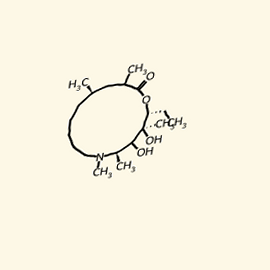 CC[C@H]1OC(=O)C(C)C[C@H](C)CCCCCN(C)[C@H](C)C(O)[C@]1(C)O